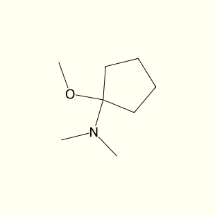 COC1(N(C)C)CCCC1